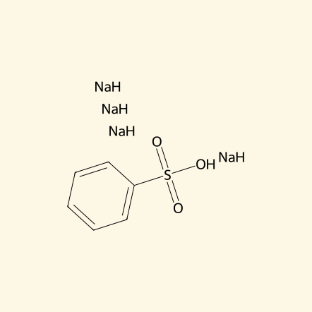 O=S(=O)(O)c1ccccc1.[NaH].[NaH].[NaH].[NaH]